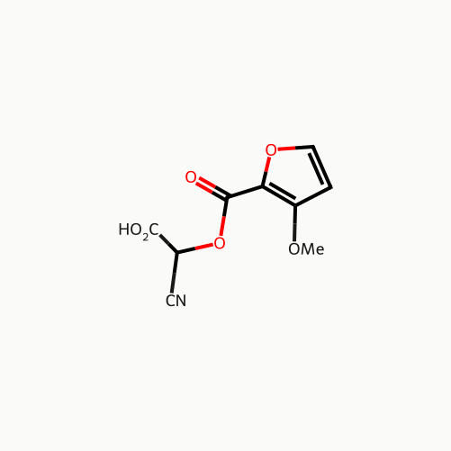 COc1ccoc1C(=O)OC(C#N)C(=O)O